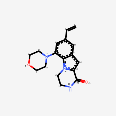 C=Cc1cc(N2CCOCC2)c2c(c1)cc1n2CCNC1=O